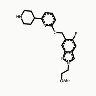 COCCn1cc2cc(F)c(COc3cccc(C4CCNCC4)n3)cc2n1